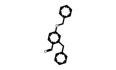 O=Cc1ccc(OCc2ccccc2)cc1Cc1ccccc1